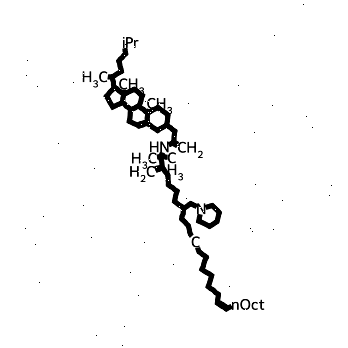 C=C(CC1CCC2(C)C(=CCC3C2CCC2(C)C(C(C)CCCC(C)C)CCC32)C1)NC(C)(C)C(=C)CCCCC(CCCCCCCCCC/C=C\CCCCCCCC)CN1CCCCC1